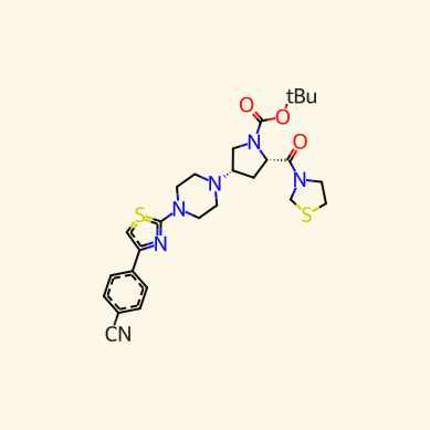 CC(C)(C)OC(=O)N1C[C@@H](N2CCN(c3nc(-c4ccc(C#N)cc4)cs3)CC2)C[C@H]1C(=O)N1CCSC1